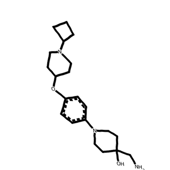 NCC1(O)CCN(c2ccc(OC3CCN(C4CCC4)CC3)cc2)CC1